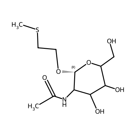 CSCCO[C@@H]1OC(CO)C(O)C(O)C1NC(C)=O